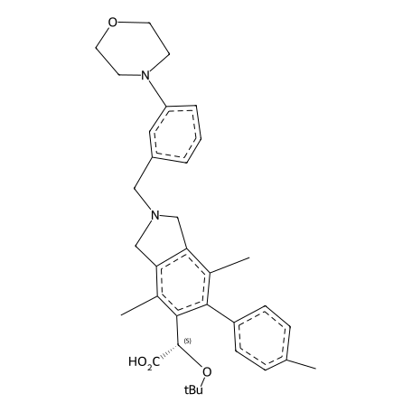 Cc1ccc(-c2c(C)c3c(c(C)c2[C@H](OC(C)(C)C)C(=O)O)CN(Cc2cccc(N4CCOCC4)c2)C3)cc1